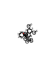 COc1cc(OC)c(/C=C(/[N+](=O)[O-])S(=O)(=O)c2ccccc2)c(OC)c1